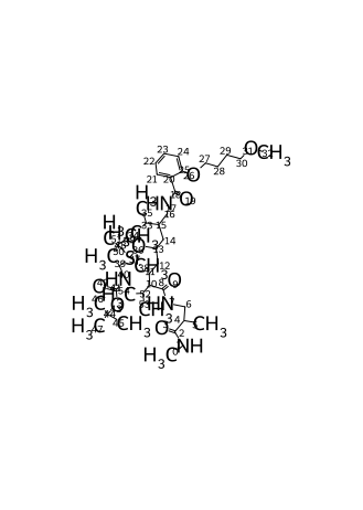 CNC(=O)C(C)CNC(=O)C(CCC(CC(CNC(=O)c1ccccc1OCCCCOC)C(C)C)O[Si@@](C)(CNC(=O)OC(C)(C)C)C(C)(C)C)C(C)C